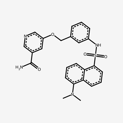 CN(C)c1cccc2c(S(=O)(=O)Nc3cccc(COc4cncc(C(N)=O)c4)c3)cccc12